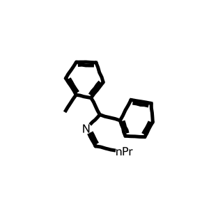 CCC/C=N\C(c1ccccc1)c1ccccc1C